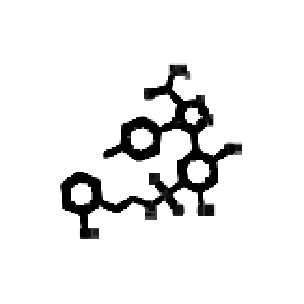 Cc1ccc(-n2c(C(N)=O)nnc2-c2cc(S(=O)(=O)NCCc3ccccc3O)c(O)cc2O)cc1